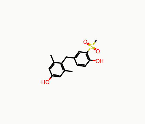 Cc1cc(O)cc(C)c1Cc1ccc(O)c(S(C)(=O)=O)c1